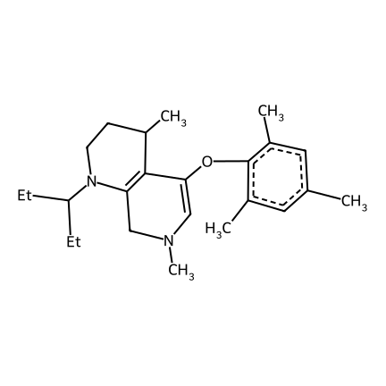 CCC(CC)N1CCC(C)C2=C1CN(C)C=C2Oc1c(C)cc(C)cc1C